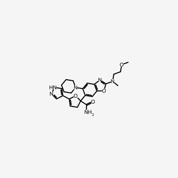 COCCN(C)c1nc2cc(N3CCCCC3)c(C3(C(N)=O)CC=C(c4cn[nH]c4)O3)cc2o1